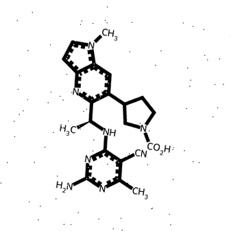 Cc1nc(N)nc(N[C@@H](C)c2nc3ccn(C)c3cc2C2CCN(C(=O)O)C2)c1C#N